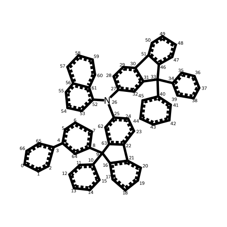 c1ccc(-c2cccc(C3(c4ccccc4)c4ccccc4-c4ccc(N(c5ccc6c(c5)C(c5ccccc5)(c5ccccc5)c5ccccc5-6)c5cccc6ccccc56)cc43)c2)cc1